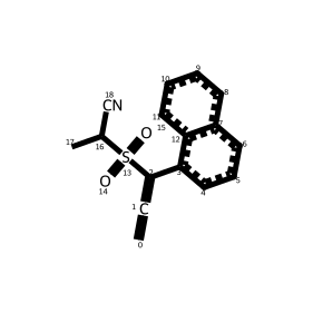 C=C=C(c1cccc2ccccc12)S(=O)(=O)C(C)C#N